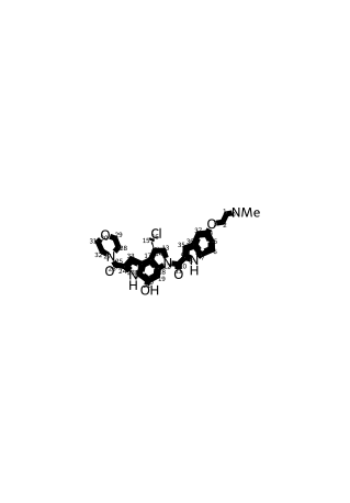 CNCCOc1ccc2[nH]c(C(=O)N3C[C@@H](CCl)c4c3cc(O)c3[nH]c(C(=O)N5CCOCC5)cc43)cc2c1